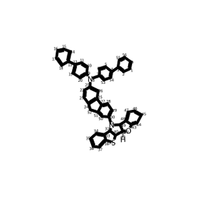 c1ccc(-c2ccc(N(c3ccc(-c4ccccc4)cc3)c3ccc4c(c3)-c3ccc(N5C6c7ccccc7SC6[C@@H]6Oc7ccccc7C65)cc3C4)cc2)cc1